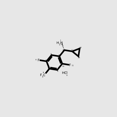 Cl.N[C@@H](c1cc(F)c(C(F)(F)F)cc1F)C1CC1